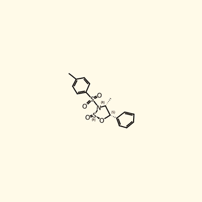 Cc1ccc(S(=O)(=O)N2[C@H](C)[C@H](c3ccccc3)O[S@]2=O)cc1